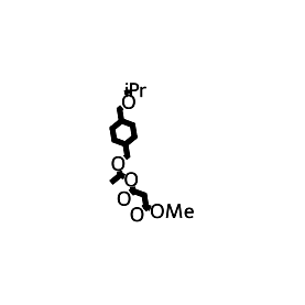 COC(=O)CC(=O)OC(C)OCC1CCC(COC(C)C)CC1